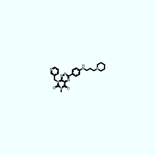 Cn1c(=O)c2nc(-c3ccc(NCCCN4CCCCC4)cc3)nnc2n(Cc2cccnc2)c1=O